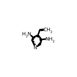 C=Cc1c(N)cncc1N